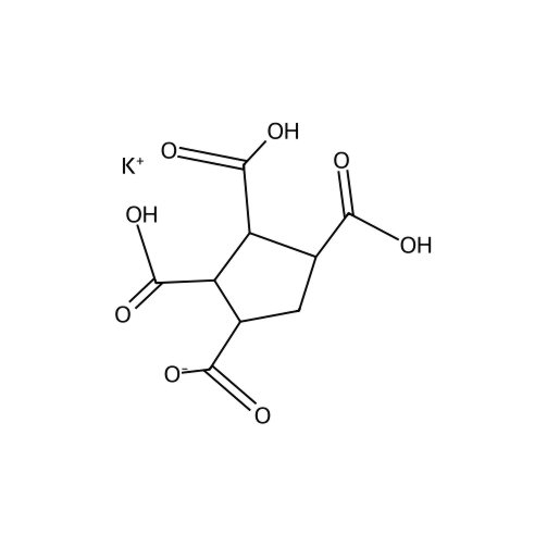 O=C([O-])C1CC(C(=O)O)C(C(=O)O)C1C(=O)O.[K+]